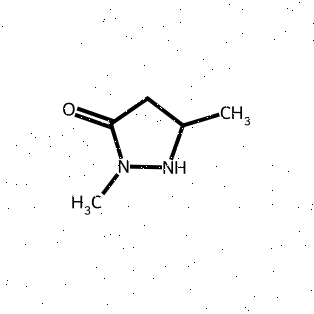 CC1CC(=O)N(C)N1